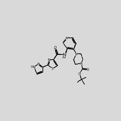 CC(C)(C)OC(=O)N1CCN(c2ccncc2NC(=O)c2csc(-c3cc[nH]n3)n2)CC1